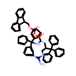 N=C(N)NCC(C[C@H](NC(c1ccccc1)(c1ccccc1)c1ccccc1)C(=O)OC(=O)OCC1c2ccccc2-c2ccccc21)C(c1ccccc1)(c1ccccc1)c1ccccc1